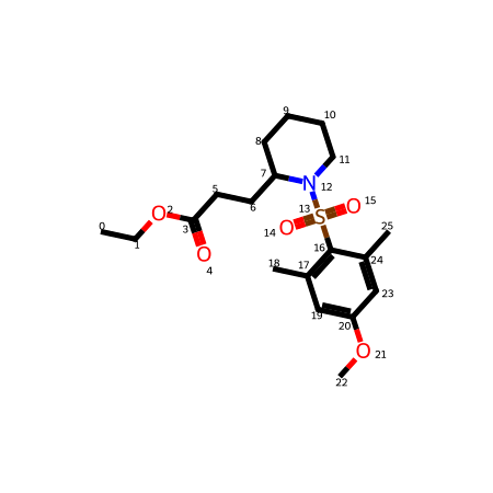 CCOC(=O)CCC1CCCCN1S(=O)(=O)c1c(C)cc(OC)cc1C